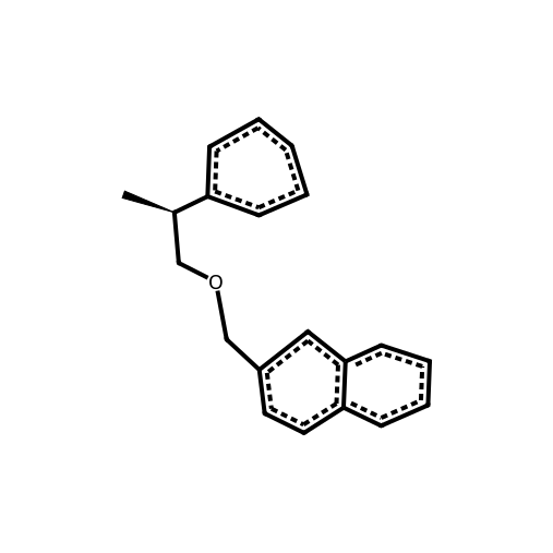 C[C@H](COCc1ccc2ccccc2c1)c1ccccc1